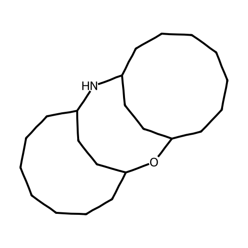 C1CCCC2CCC(CCC1)OC1CCCCCCCC(CC1)N2